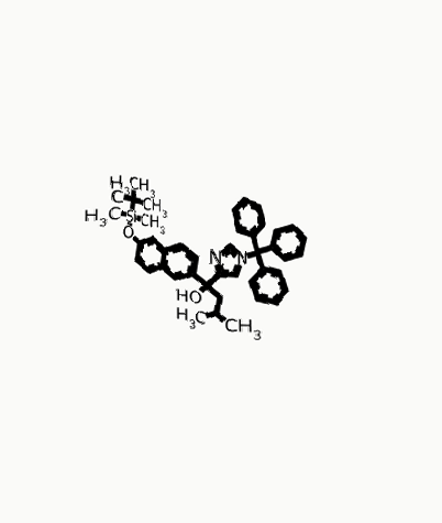 CC(C)CC(O)(c1ccc2cc(O[Si](C)(C)C(C)(C)C)ccc2c1)c1cn(C(c2ccccc2)(c2ccccc2)c2ccccc2)cn1